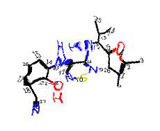 CC1=C(C)OC(C(Nc2nsnc2Nc2cccc(C#N)c2O)C(C)C)C1